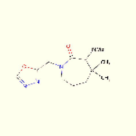 CNC1C(=O)N(Cc2nnco2)CCCC1(C)C